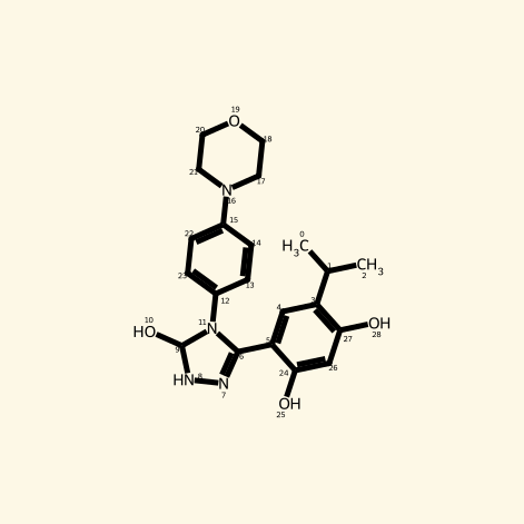 CC(C)c1cc(C2=NNC(O)N2c2ccc(N3CCOCC3)cc2)c(O)cc1O